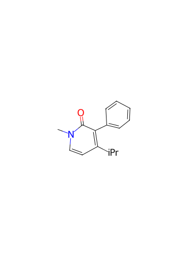 CC(C)c1ccn(C)c(=O)c1-c1ccccc1